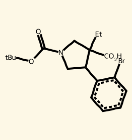 CCC1(C(=O)O)CN(C(=O)OC(C)(C)C)CC1c1ccccc1Br